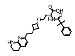 CC(C)(C(=O)N[C@@H](CCO[C@H]1C[C@H](CCc2ccc3c(n2)NCCC3)C1)C(=O)O)c1ccccc1